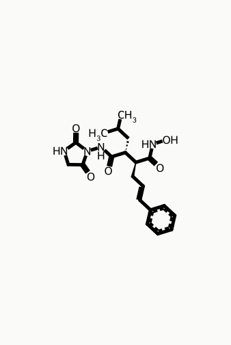 CC(C)C[C@@H](C(=O)NN1C(=O)CNC1=O)[C@H](C/C=C/c1ccccc1)C(=O)NO